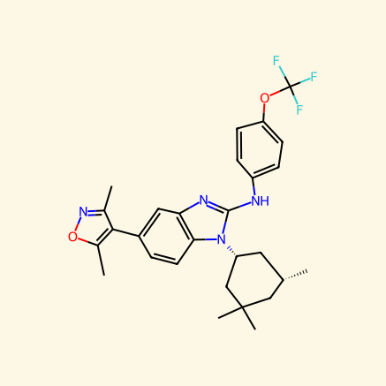 Cc1noc(C)c1-c1ccc2c(c1)nc(Nc1ccc(OC(F)(F)F)cc1)n2[C@@H]1C[C@H](C)CC(C)(C)C1